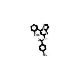 CC(C)(C)c1ccc(C(=O)Nc2cc(-c3ccccc3C=O)n3nccc3n2)cc1